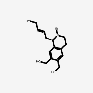 CCN1CCc2cc(CO)c(CO)cc2[C@H]1C/C=C/CC(C)C